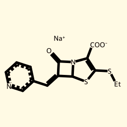 CCSC1=C(C(=O)[O-])N2C(=O)C(=Cc3cccnc3)C2S1.[Na+]